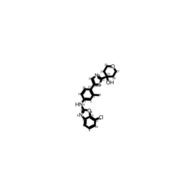 Cc1cc(Nc2nc3cccc(Cl)c3o2)ccc1-c1cnc(C2(O)CCOCC2)s1